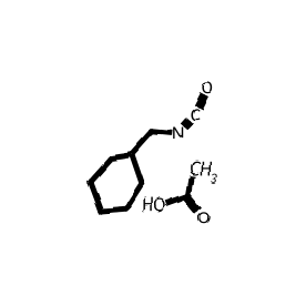 CC(=O)O.O=C=NCC1CCCCC1